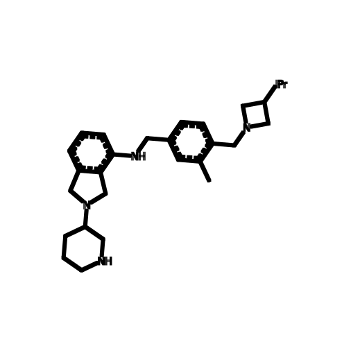 Cc1cc(CNc2cccc3c2CN(C2CCCNC2)C3)ccc1CN1CC(C(C)C)C1